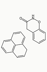 C1=Cc2cccc3cccc(c23)C1.O=C1Cc2ccccc2ON1